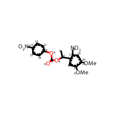 COc1cc(C(C)OC(=O)Oc2ccc([N+](=O)[O-])cc2)c([N+](=O)[O-])cc1OC